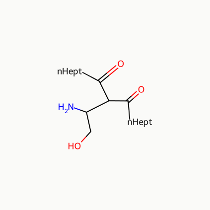 CCCCCCCC(=O)C(C(=O)CCCCCCC)C(N)CO